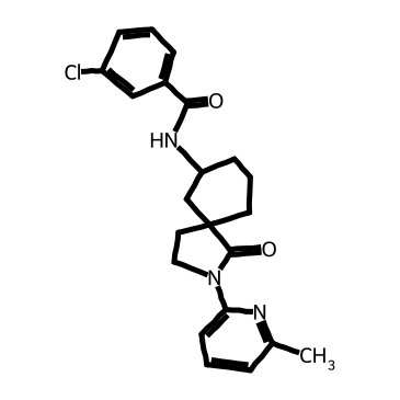 Cc1cccc(N2CCC3(CCCC(NC(=O)c4cccc(Cl)c4)C3)C2=O)n1